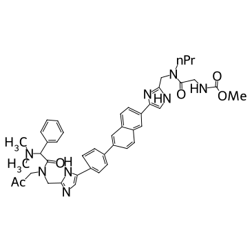 CCCN(Cc1nc(-c2ccc3cc(-c4ccc(-c5cnc(CN(CC(C)=O)C(=O)C(c6ccccc6)N(C)C)[nH]5)cc4)ccc3c2)c[nH]1)C(=O)CNC(=O)OC